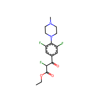 CCOC(=O)C(F)C(=O)c1cc(F)c(N2CCN(C)CC2)c(F)c1